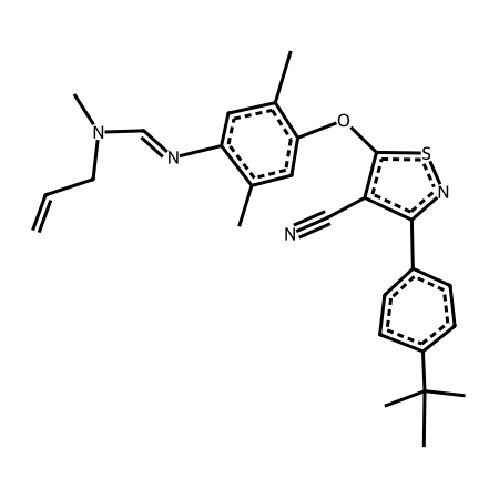 C=CCN(C)C=Nc1cc(C)c(Oc2snc(-c3ccc(C(C)(C)C)cc3)c2C#N)cc1C